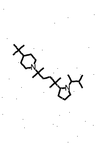 CC(C)C(C)N1CCCC1C(C)(C)CCC(C)(C)N1CCC(C(C)(C)C)CC1